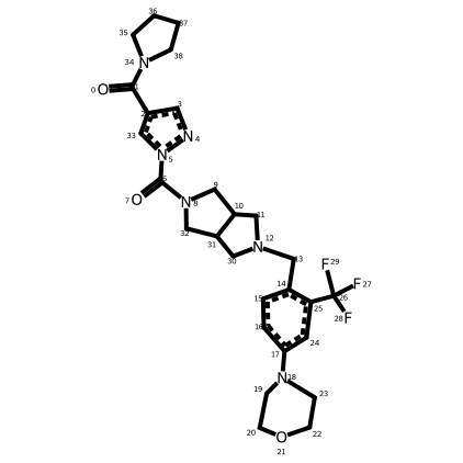 O=C(c1cnn(C(=O)N2CC3CN(Cc4ccc(N5CCOCC5)cc4C(F)(F)F)CC3C2)c1)N1CCCC1